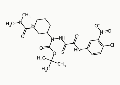 CN(C)C(=O)[C@H]1CCCC(N(NC(=S)C(=O)Nc2ccc(Cl)c([N+](=O)[O-])c2)C(=O)OC(C)(C)C)C1